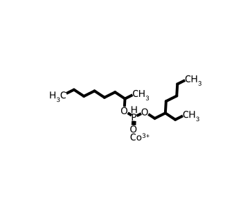 CCCCCCC(C)O[PH](=O)OCC(CC)CCCC.[Co+3]